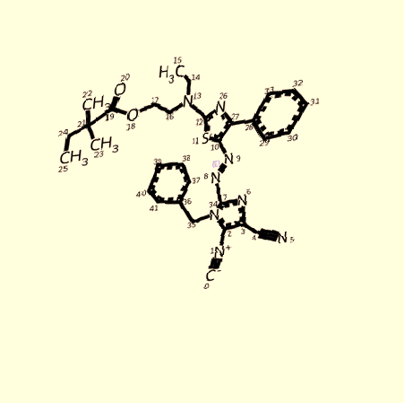 [C-]#[N+]c1c(C#N)nc(/N=N/c2sc(N(CC)CCOC(=O)C(C)(C)CC)nc2-c2ccccc2)n1Cc1ccccc1